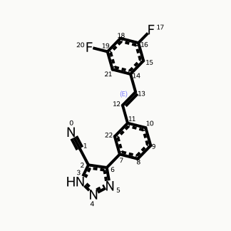 N#Cc1[nH]nnc1-c1cccc(/C=C/c2cc(F)cc(F)c2)c1